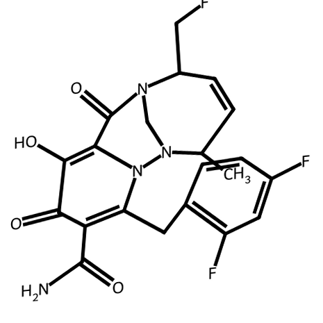 CC1C=CC(CF)N2CN1n1c(Cc3ccc(F)cc3F)c(C(N)=O)c(=O)c(O)c1C2=O